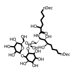 CCCCCCCCCCCCCCC(O)C(=O)N[C@@H](COP(=O)(O)O[C@H]1C(O)C(O)C(O)[C@@H](O)C1O[C@H]1O[C@H](CO)[C@@H](O)C(O)C1O)[C@H](O)[C@H](O)CCCCCCCCCCCCCC